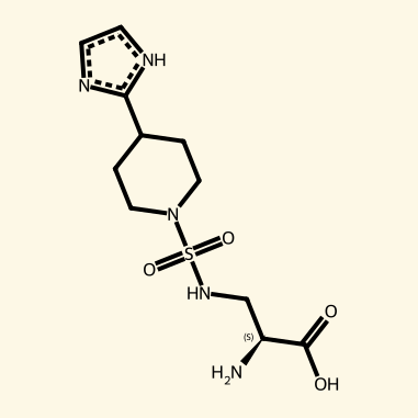 N[C@@H](CNS(=O)(=O)N1CCC(c2ncc[nH]2)CC1)C(=O)O